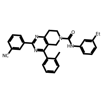 CCc1cccc(NC(=O)N2CCc3nc(-c4cccc(C#N)c4)nc(-c4ccccc4C)c3C2)c1